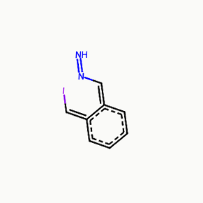 N=N/C=c1/cccc/c1=C/I